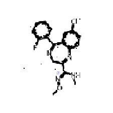 CN/C(=N\OC)C1=Nc2ccc(Cl)cc2C(c2ccccc2F)=NC1